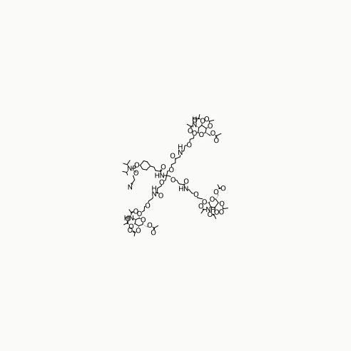 CC(=O)N[C@H]1[C@H](OCCOCCNCC(=O)CCOCC(COCCC(=O)NCCOCCO[C@@H]2O[C@H](COC(C)=O)[C@H](OC(C)=O)[C@H](OC(C)=O)[C@H]2NC(C)=O)(COCCC(=O)NCCOCCO[C@@H]2O[C@H](COC(C)=O)[C@H](OC(C)=O)[C@H](OC(C)=O)[C@H]2NC(C)=O)NC(=O)CCC2CCC(OP(OCCC#N)N(C(C)C)C(C)C)CC2)O[C@H](COC(C)=O)[C@H](OC(C)=O)[C@@H]1OC(C)=O